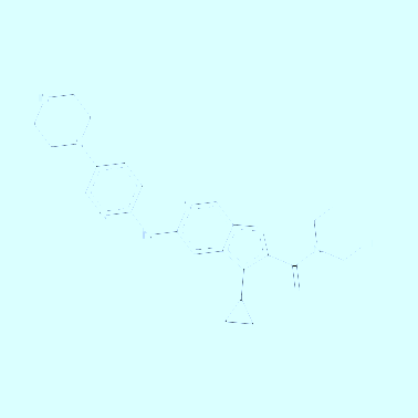 CCN(CC)C(=O)c1sc2cnc(Nc3ccc(N4CCNCC4)cn3)cc2c1C1CC1